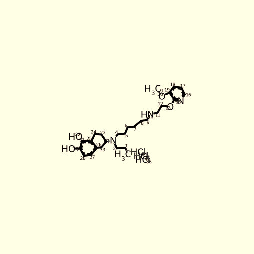 CCCN(CCCCCCNCCOc1ncccc1OC)[C@H]1CCc2c(ccc(O)c2O)C1.Cl.Cl.Cl